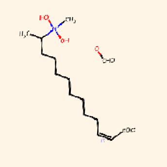 CCCCCCCC/C=C\CCCCCCCCC(C)[N+](C)(O)O.O=C[O-]